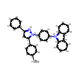 CC(C)(C)c1ccc(-c2cc(-c3ccccc3)nn2-c2ccc(-n3c4ccccc4c4ccccc43)cc2)cc1